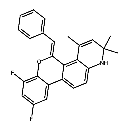 CC1=CC(C)(C)Nc2ccc3c(c21)C(=Cc1ccccc1)Oc1c(F)cc(F)cc1-3